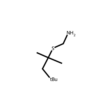 CC(C)(C)CC(C)(C)SCN